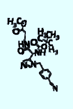 COC(=O)CCNC(=O)C(NC(=O)OC(C)(C)C)c1cncn1Cc1ccc(C#N)cc1